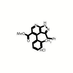 COC(=O)c1cnc2[nH]nc(CC(C)C)c2c1-c1ccccc1C.Cl